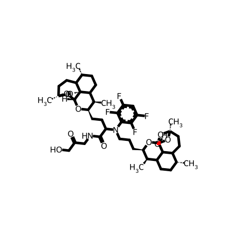 C[C@@H]1CCC2[C@@H](C)[C@@H](CCCN(c3c(F)c(F)cc(F)c3F)C(CC[C@H]3O[C@@H]4O[C@]5(C)CCC6[C@H](C)CCC([C@H]3C)[C@]64OO5)C(=O)NCC(=O)CO)O[C@@H]3O[C@]4(C)CCC1[C@@]23OO4